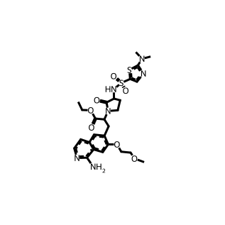 CCOC(=O)C(Cc1cc2ccnc(N)c2cc1OCCOC)N1CCC(NS(=O)(=O)c2cnc(N(C)C)s2)C1=O